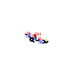 Cc1nc(-c2ccc(C)c(N(CC(=O)O)CC(=O)N(C)N3Cc4ccsc4C3)c2)no1